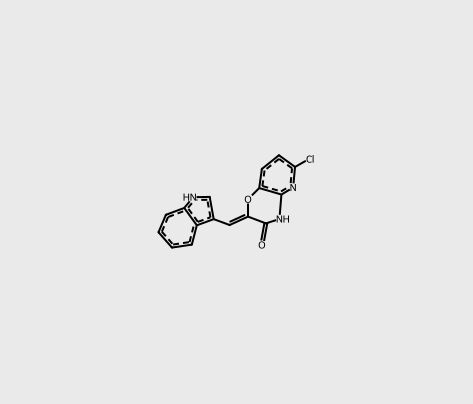 O=C1Nc2nc(Cl)ccc2OC1=Cc1c[nH]c2ccccc12